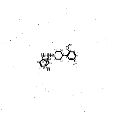 COc1ccc(F)cc1C1CCN(N[C@H]2C[C@H]3C=C[C@H]2C3)CC1